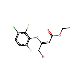 CCOC(=O)/C=C(/CBr)Oc1c(F)ccc(Cl)c1F